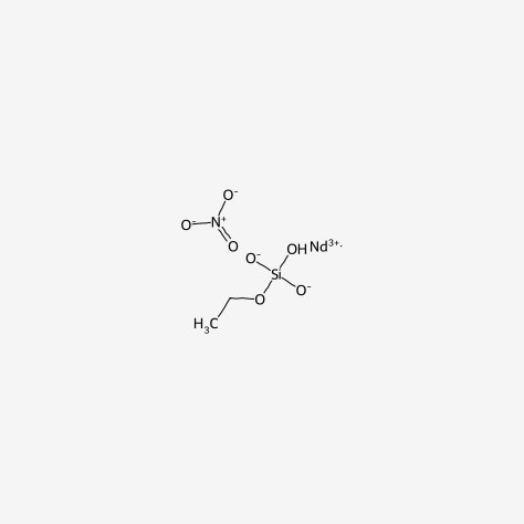 CCO[Si]([O-])([O-])O.O=[N+]([O-])[O-].[Nd+3]